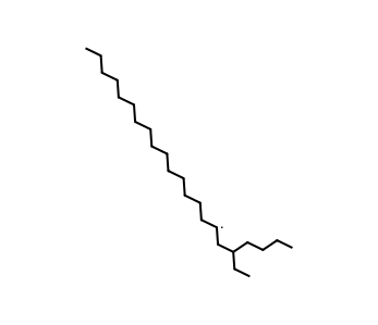 CCCCCCCCCCCCCCC[CH]CC(CC)CCCC